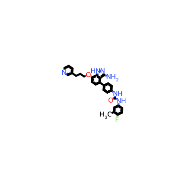 Cc1cc(NC(=O)Nc2ccc(-c3ccc(OCCCc4cccnc4)c4[nH]nc(N)c34)cc2)ccc1F